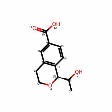 CC(O)[C@H]1OCCc2cc(C(=O)O)ccc21